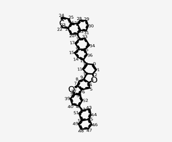 C1=CC2Oc3cc4c(cc3C2C=C1c1ccc2cc(-c3cc5ccccc5c5ccccc35)ccc2c1)oc1ccc(-c2ccc3ccccc3c2)cc14